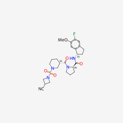 COc1cc2c(cc1F)CC[C@@H]2NC(=O)[C@H]1CCCN1C(=O)[C@H]1CCCN(S(=O)(=O)N2CC(C#N)C2)C1